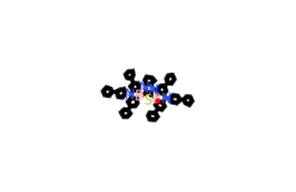 c1ccc(-c2ccc(N3c4ccc(-c5ccccc5)cc4B4c5sc6c7c5N(c5ccccc5N7c5cc(-c7ccccc7)cc7c5B6c5ccc(-c6ccccc6)cc5N7c5ccc(-c6ccccc6)cc5)c5cc(-c6ccccc6)cc3c54)cc2)cc1